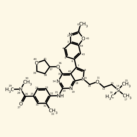 Cc1nc2ccc(-c3cn(COCC[Si](C)(C)C)c4nc(Nc5ccc(C(=O)N(C)C)cc5C)nc(OC5CCOC5)c34)cc2o1